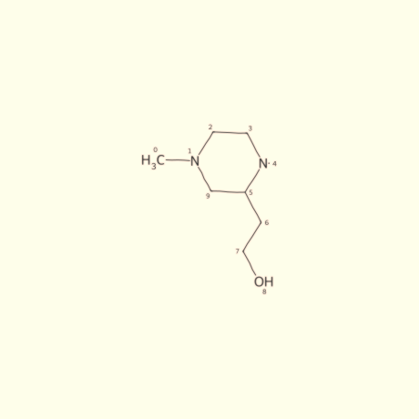 CN1CC[N]C(CCO)C1